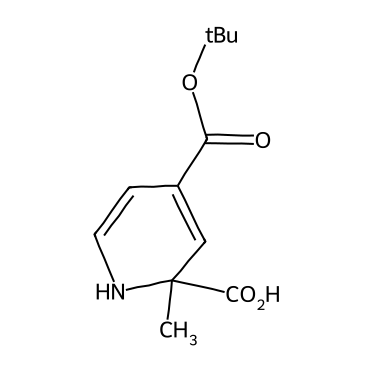 CC(C)(C)OC(=O)C1=CC(C)(C(=O)O)NC=C1